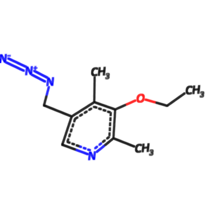 CCOc1c(C)ncc(CN=[N+]=[N-])c1C